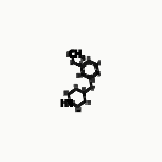 CCc1cccc(CC2CCNCC2)c1